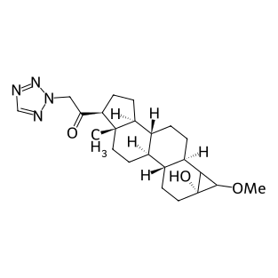 COC1C2[C@@H]3CC[C@@H]4[C@H](CC[C@]5(C)[C@@H](C(=O)Cn6ncnn6)CC[C@@H]45)[C@H]3CC[C@]12O